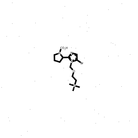 C[Si](C)(C)CCOCn1c(Br)cnc1C1CCCN1C(=O)O